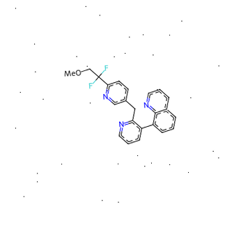 COCC(F)(F)c1ccc(Cc2ncccc2-c2cccc3cccnc23)cn1